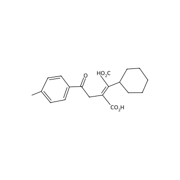 Cc1ccc(C(=O)CC(C(=O)O)=C(C(=O)O)C2CCCCC2)cc1